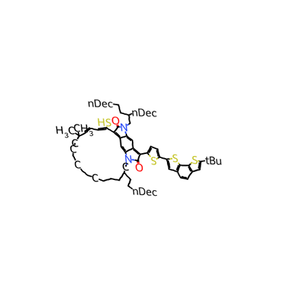 CCCCCCCCCCCCC(CCCCCCCCCC)CN1C(=O)C2=c3cc4c(cc31)=C(c1ccc(-c3cc5ccc6cc(C(C)(C)C)sc6c5s3)s1)C(=O)N4CC(CCCCCCCCCCCC)CCCCCCCCCCC(C)(C)/C=C/C=C/2S